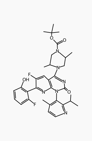 Cc1ccnc(C(C)C)c1-n1c(=O)nc(N2CC(C)N(C(=O)OC(C)(C)C)CC2C)c2cc(F)c(-c3c(O)cccc3F)nc21